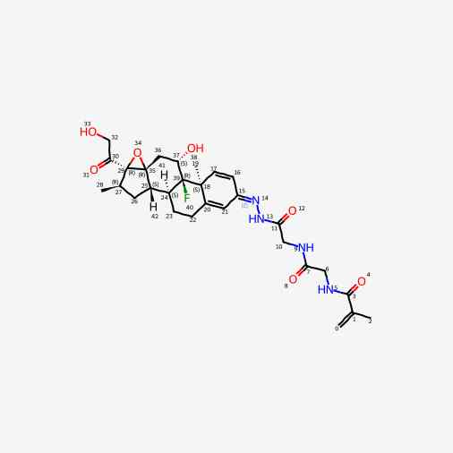 C=C(C)C(=O)NCC(=O)NCC(=O)N/N=C1/C=C[C@@]2(C)C(=C1)CC[C@H]1[C@@H]3C[C@@H](C)[C@@]4(C(=O)CO)O[C@]34C[C@H](O)[C@@]12F